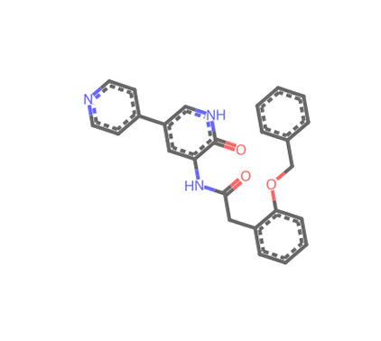 O=C(Cc1ccccc1OCc1ccccc1)Nc1cc(-c2ccncc2)c[nH]c1=O